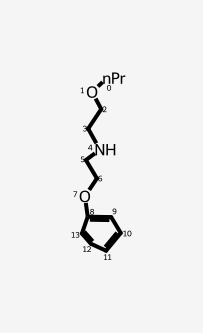 CCCOCCNCCOc1ccccc1